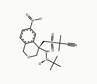 CC(C)(C)[S@@+]([O-])N[C@]1(CS(=O)(=O)C(C)(C)C#N)COCc2ccc([N+](=O)[O-])cc21